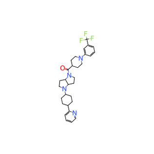 O=C(C1CCN(c2cccc(C(F)(F)F)c2)CC1)N1CCC2C1CCN2C1CCC(c2ccccn2)CC1